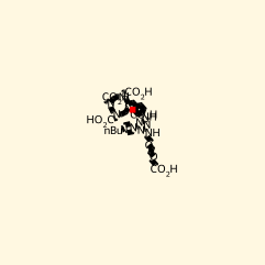 CCCCN1CCN(c2nc(NCCOCCOCCC(=O)O)nc(Nc3ccc(CC4CN(CC(=O)O)CCN(CC(=O)O)CCN(CC(=O)O)CCN4CC(=O)O)cc3)n2)CC1